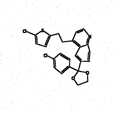 Clc1ccc(C2(c3ccc4nccc(CCc5ccc(Cl)s5)c4c3)OCCO2)cc1